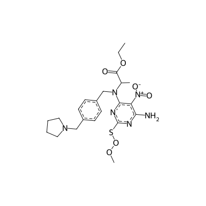 CCOC(=O)C(C)N(Cc1ccc(CN2CCCC2)cc1)c1nc(SOOC)nc(N)c1[N+](=O)[O-]